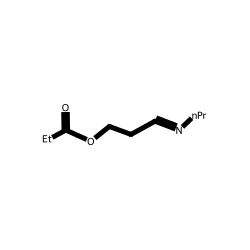 CCCN=CCCOC(=O)CC